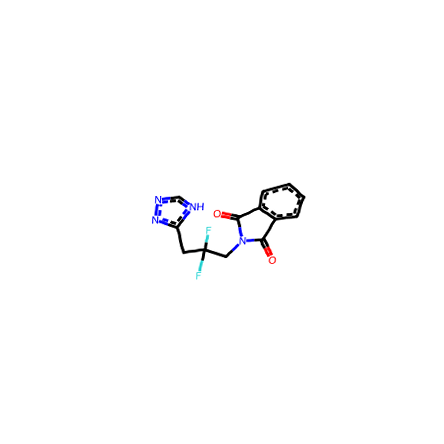 O=C1c2ccccc2C(=O)N1CC(F)(F)Cc1nnc[nH]1